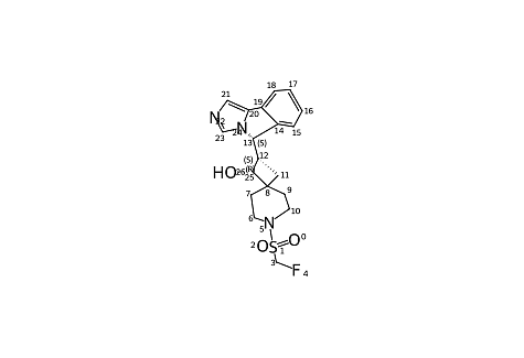 O=S(=O)(CF)N1CCC2(CC1)C[C@@H]([C@H]1c3ccccc3-c3cncn31)[C@H]2O